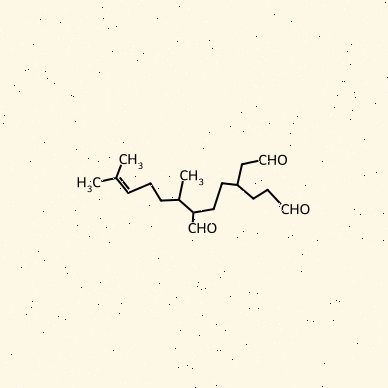 CC(C)=CCCC(C)C(C=O)CCC(CC=O)CCC=O